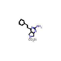 CCOC(=O)N1Cc2nc(N)nc(/C=C/c3ccccc3)c2C1